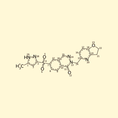 Cc1cc(S(=O)(=O)c2ccc3c(=O)n(Cc4ccc5c(n4)CCO5)ncc3c2)n[nH]1